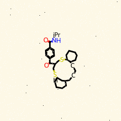 CC(C)NC(=O)c1ccc(C(=O)C2CSC3CCCCCC3CCCCC3CCCC[C@@H](C3)SC2)cc1